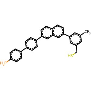 FC(F)(F)c1cc(CS)cc(-c2ccc3ccc(-c4ccc(-c5ccc(P)cc5)cc4)cc3c2)c1